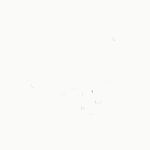 CC(C)(OC(=O)OCc1ccc([N+](=O)[O-])cc1)[C@H]1C(=O)N[C@@H]1CC(=O)CC(=O)OCc1ccc([N+](=O)[O-])cc1